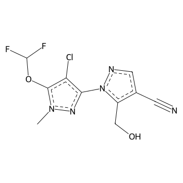 Cn1nc(-n2ncc(C#N)c2CO)c(Cl)c1OC(F)F